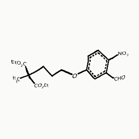 CCOC(=O)C(C)(CCCOc1ccc([N+](=O)[O-])c(C=O)c1)C(=O)OCC